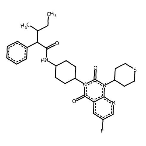 CCC(C)C(C(=O)NC1CCC(n2c(=O)c3cc(F)cnc3n(C3CCSCC3)c2=O)CC1)c1ccccc1